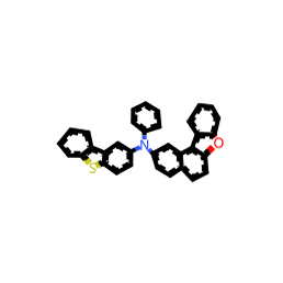 c1ccc(N(c2ccc3sc4ccccc4c3c2)c2ccc3ccc4oc5ccccc5c4c3c2)cc1